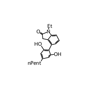 CCCCCc1cc(O)c(-c2cccc3c2CC(=O)N3CC)c(O)c1